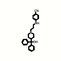 N#Cc1ccc(NCCCN2CCC(C(O)(c3ccccc3)c3ccccc3)CC2)cc1